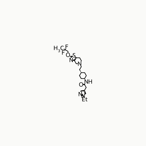 CCn1cc(CC(=O)N[C@H]2CC[C@H](CCN3CCc4sc(OCC(C)(F)F)nc4C3)CC2)cn1